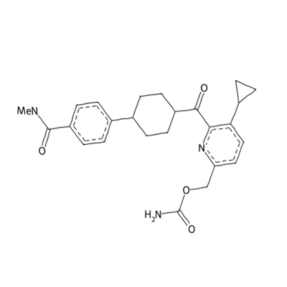 CNC(=O)c1ccc(C2CCC(C(=O)c3nc(COC(N)=O)ccc3C3CC3)CC2)cc1